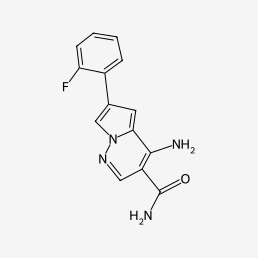 NC(=O)c1cnn2cc(-c3ccccc3F)cc2c1N